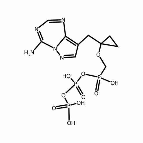 Nc1ncnc2c(CC3(OCP(=O)(O)OP(=O)(O)OP(=O)(O)O)CC3)cnn12